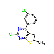 CC1Cc2c(nc(Cl)nc2-c2cccc(Cl)c2)S1